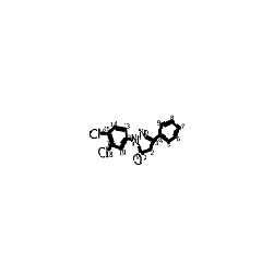 O=C1CC(c2ccccc2)=NN1c1ccc(Cl)c(Cl)c1